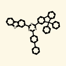 c1ccc(-c2ccc(-c3nc(-c4ccc5c(c4)C(c4ccccc4)(c4ccccc4)c4ccccc4-5)nc(-c4ccc5c(c4)oc4ccccc45)n3)cc2)cc1